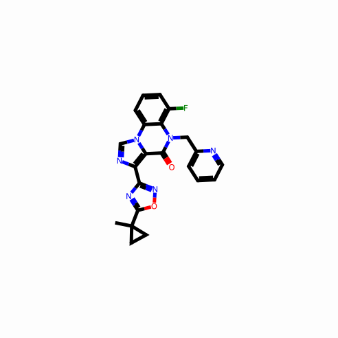 CC1(c2nc(-c3ncn4c3c(=O)n(Cc3ccccn3)c3c(F)cccc34)no2)CC1